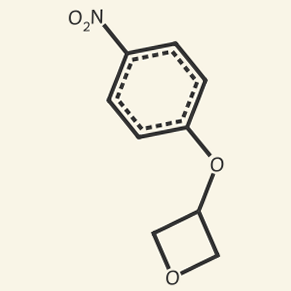 O=[N+]([O-])c1ccc(OC2COC2)cc1